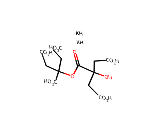 O=C(O)CC(O)(CC(=O)O)C(=O)OC(CC(=O)O)(CC(=O)O)C(=O)O.[KH].[KH]